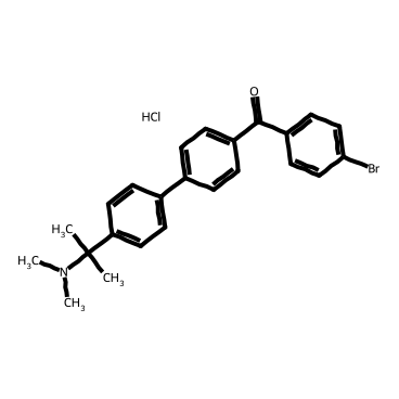 CN(C)C(C)(C)c1ccc(-c2ccc(C(=O)c3ccc(Br)cc3)cc2)cc1.Cl